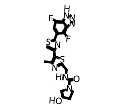 Cc1nc(CNC(=O)N2CCC(O)C2)sc1-c1csc(-c2cc(F)c3[nH]nnc3c2F)n1